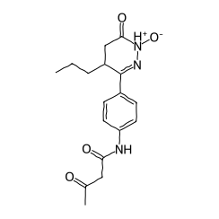 CCCC1CC(=O)[NH+]([O-])N=C1c1ccc(NC(=O)CC(C)=O)cc1